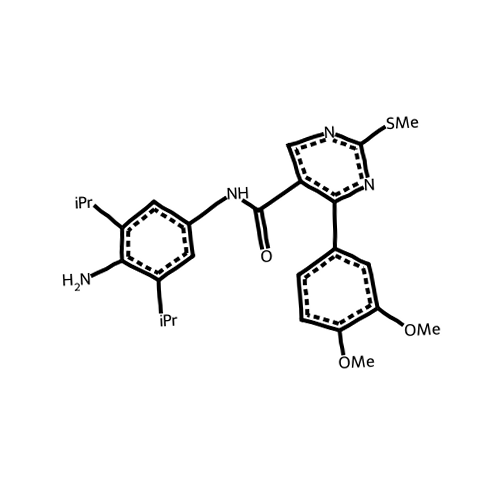 COc1ccc(-c2nc(SC)ncc2C(=O)Nc2cc(C(C)C)c(N)c(C(C)C)c2)cc1OC